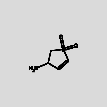 NC1C=CS(=O)(=O)C1